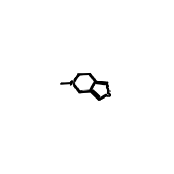 CN1CCc2cscc2C1